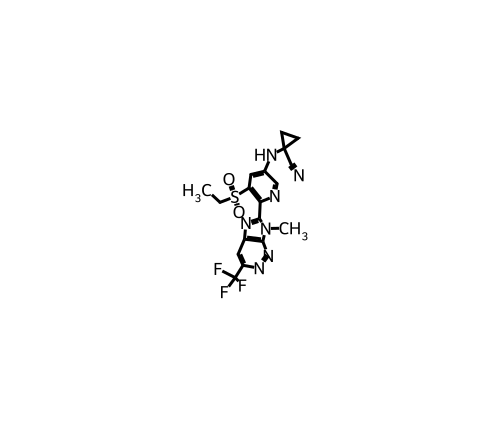 CCS(=O)(=O)c1cc(NC2(C#N)CC2)cnc1-c1nc2cc(C(F)(F)F)nnc2n1C